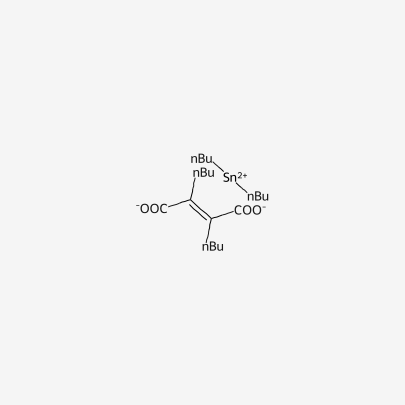 CCCCC(C(=O)[O-])=C(CCCC)C(=O)[O-].CCC[CH2][Sn+2][CH2]CCC